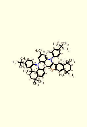 Cc1cc2c3c(c1)N(c1ccc(C(C)(C)C)cc1C)c1c(sc4cc5c(cc14)C(C)(C)CCC5(C)C)B3c1ccc3c4c1N2c1ccc(C(C)(C)C)cc1C4(C)CCC3(C)C